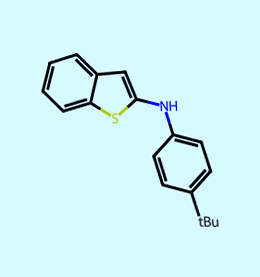 CC(C)(C)c1ccc(Nc2cc3ccccc3s2)cc1